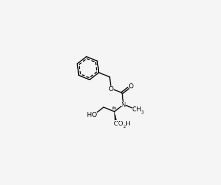 CN(C(=O)OCc1ccccc1)[C@H](CO)C(=O)O